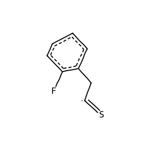 Fc1ccccc1C[C]=S